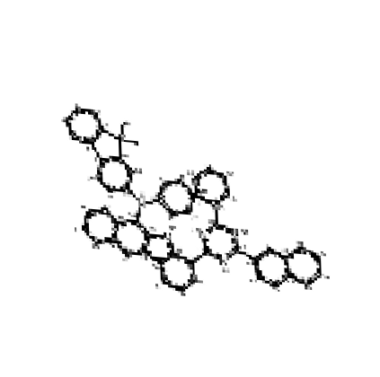 CC1(C)c2ccccc2-c2ccc(N(c3ccccc3)c3c4ccccc4cc4c3oc3c(-c5nc(-c6ccccc6)nc(-c6ccc7ccccc7c6)n5)cccc34)cc21